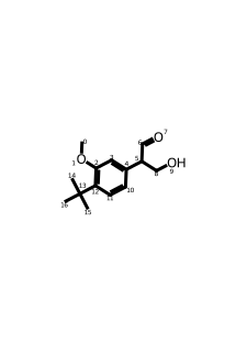 COc1cc(C(C=O)CO)ccc1C(C)(C)C